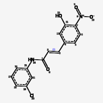 O=C(/C=C/c1ccc([N+](=O)[O-])c(O)c1)Nc1cccc(Cl)c1